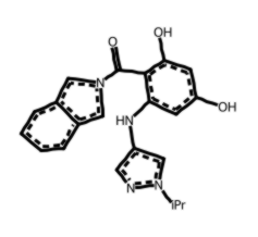 CC(C)n1cc(Nc2cc(O)cc(O)c2C(=O)n2cc3ccccc3c2)cn1